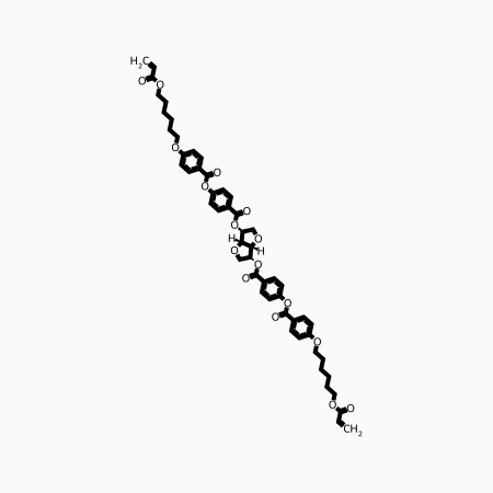 C=CC(=O)OCCCCCCOc1ccc(C(=O)Oc2ccc(C(=O)O[C@H]3CO[C@H]4[C@@H]3OC[C@H]4OC(=O)c3ccc(OC(=O)c4ccc(OCCCCCCOC(=O)C=C)cc4)cc3)cc2)cc1